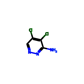 Nc1nncc(Cl)c1Cl